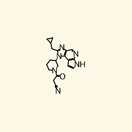 N#CCC(=O)N1CCCC(n2c(CC3CC3)nc3cnc4[nH]ccc4c32)C1